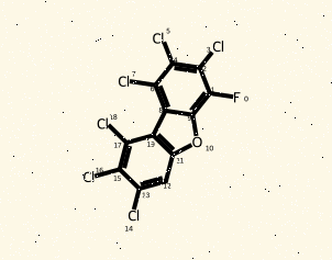 Fc1c(Cl)c(Cl)c(Cl)c2c1oc1cc(Cl)c(Cl)c(Cl)c12